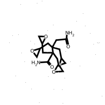 NC(=O)CC(CC1CO1)(CC1CO1)C(CC1CO1)(CC1CO1)C(N)=O